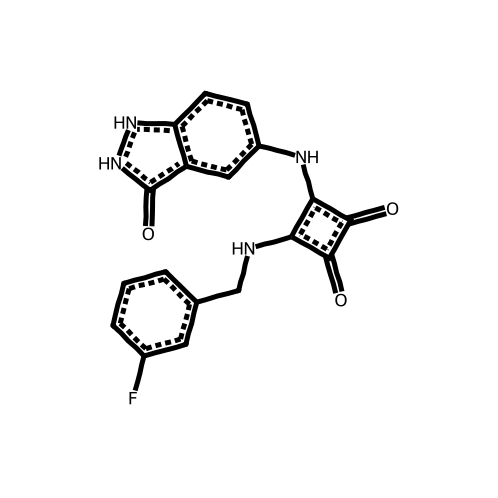 O=c1c(NCc2cccc(F)c2)c(Nc2ccc3[nH][nH]c(=O)c3c2)c1=O